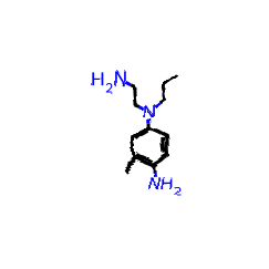 CCCN(CCN)c1ccc(N)c(C)c1